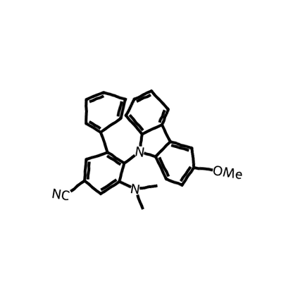 COc1ccc2c(c1)c1ccccc1n2-c1c(-c2ccccc2)cc(C#N)cc1N(C)C